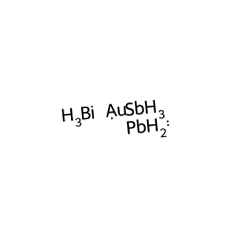 [Au].[BiH3].[PbH2].[SbH3]